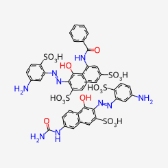 NC(=O)Nc1ccc2c(O)c(N=Nc3cc(N)ccc3S(=O)(=O)O)c(S(=O)(=O)O)cc2c1.Nc1ccc(S(=O)(=O)O)c(N=Nc2c(S(=O)(=O)O)cc3cc(S(=O)(=O)O)cc(NC(=O)c4ccccc4)c3c2O)c1